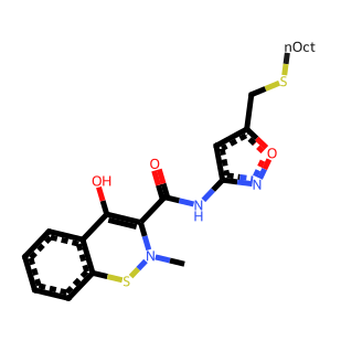 CCCCCCCCSCc1cc(NC(=O)C2=C(O)c3ccccc3SN2C)no1